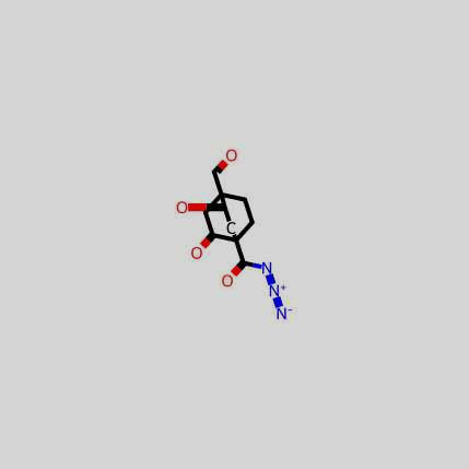 [N-]=[N+]=NC(=O)C12CCC(C=O)(CC1=O)C(=O)C2